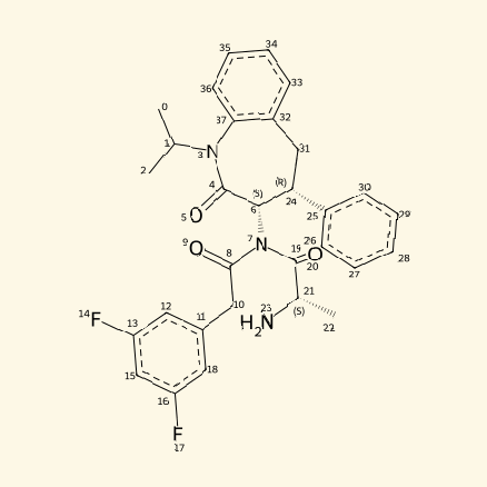 CC(C)N1C(=O)[C@@H](N(C(=O)Cc2cc(F)cc(F)c2)C(=O)[C@H](C)N)[C@@H](c2ccccc2)Cc2ccccc21